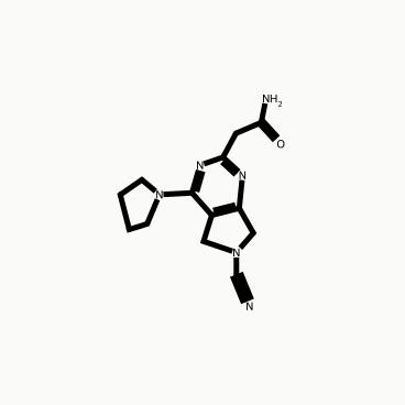 N#CN1Cc2nc(CC(N)=O)nc(N3CCCC3)c2C1